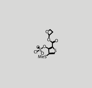 CSc1csc(C(=O)OC2CCO2)c1OS(=O)(=O)Cl